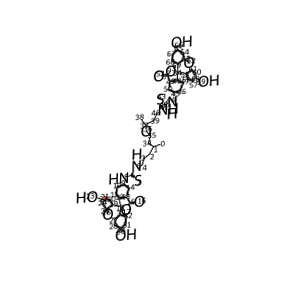 CC(CCCNC(=S)Nc1ccc2c(c1)C(=O)OC21c2ccc(O)cc2Oc2cc(O)ccc21)CCOC(C)CCNC(=S)Nc1ccc2c(c1)C(=O)OC21c2ccc(O)cc2Oc2cc(O)ccc21